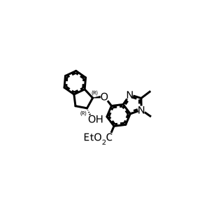 CCOC(=O)c1cc(O[C@@H]2c3ccccc3C[C@H]2O)c2nc(C)n(C)c2c1